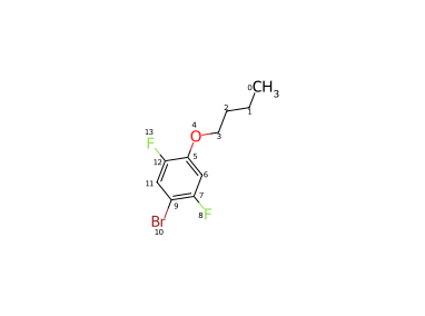 CCCCOc1cc(F)c(Br)cc1F